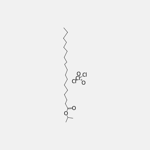 CCCCCCCCCCCCCCCCCC(=O)OC(C)C.[O]=[Cr](=[O])([Cl])[Cl]